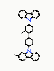 Cc1ccc2c3ccccc3n(-c3ccc(-c4ccc(-n5c6ccccc6c6ccccc65)cc4C)cc3)c2c1